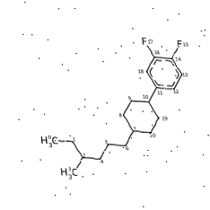 CCC(C)CCCC1CCC(c2ccc(F)c(F)c2)CC1